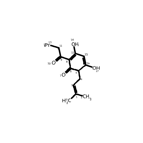 CC(C)=CCC1C(=O)C(C(=O)CC(C)C)=C(O)C=C1O